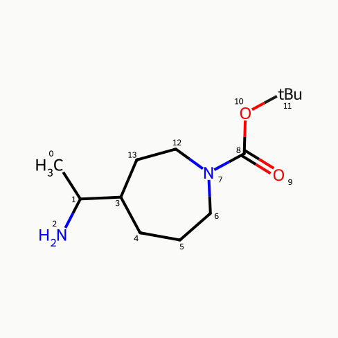 CC(N)C1CCCN(C(=O)OC(C)(C)C)CC1